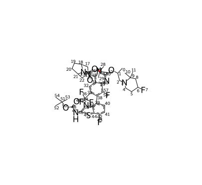 CC(CN1CCC(F)CC1(C)C)Oc1nc(N2CC3CCC(C2)N3C(=O)OC(C)(C)C)c2cc(C(F)(F)F)c(-c3ccc(F)c4sc(NC(=O)OC(C)(C)C)nc34)c(F)c2n1